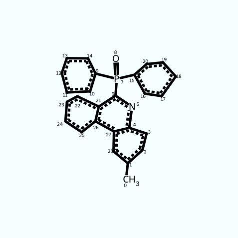 Cc1ccc2nc(P(=O)(c3ccccc3)c3ccccc3)c3ccccc3c2c1